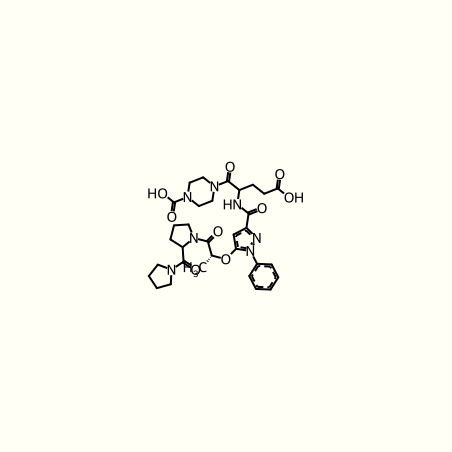 C[C@@H](Oc1cc(C(=O)NC(CCC(=O)O)C(=O)N2CCN(C(=O)O)CC2)nn1-c1ccccc1)C(=O)N1CCCC1C(=O)N1CCCC1